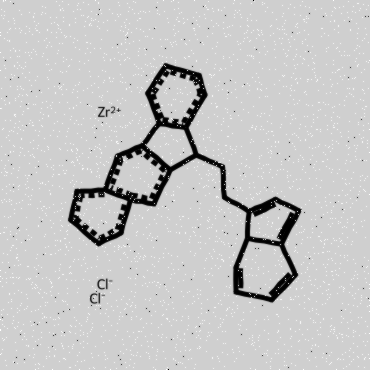 C1=CC2=CC=C(CCC3c4ccccc4-c4cc5ccccc5cc43)C2C=C1.[Cl-].[Cl-].[Zr+2]